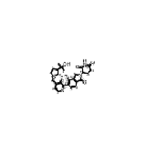 CC(C)(O)C1CCN(Cc2ccnc(-c3ccc4c(c3F)CN(C3CCC(=O)NC3=O)C4=O)c2F)C1